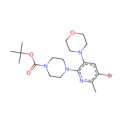 Cc1nc(N2CCN(C(=O)OC(C)(C)C)CC2)c(N2CCOCC2)cc1Br